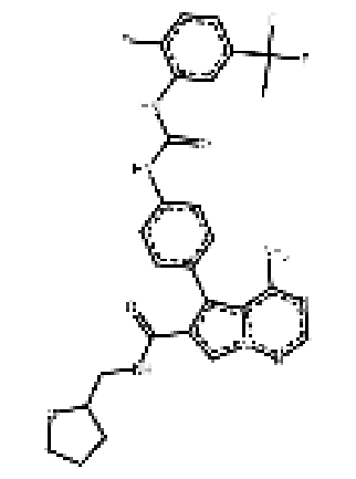 Nc1ncnn2cc(C(=O)NCC3CCCO3)c(-c3ccc(NC(=O)Nc4cc(C(F)(F)F)ccc4F)cc3)c12